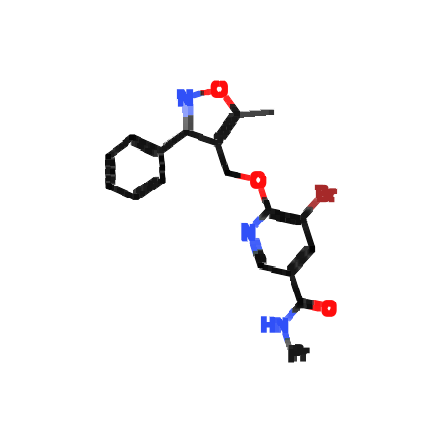 Cc1onc(-c2ccccc2)c1COc1ncc(C(=O)NC(C)C)cc1Br